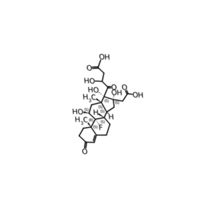 C[C@]12CCC(=O)C=C1CC[C@H]1[C@@H]3C[C@](O)(CC(=O)O)[C@](O)(C(=O)C(O)CC(=O)O)[C@@]3(C)C[C@H](O)[C@@]12F